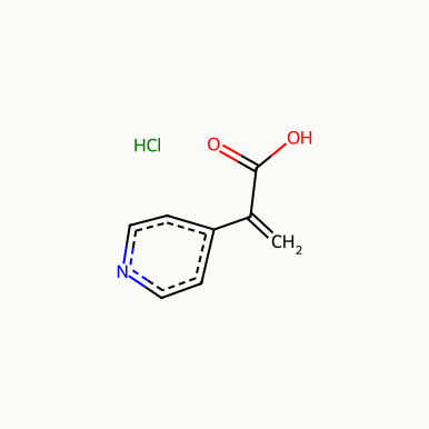 C=C(C(=O)O)c1ccncc1.Cl